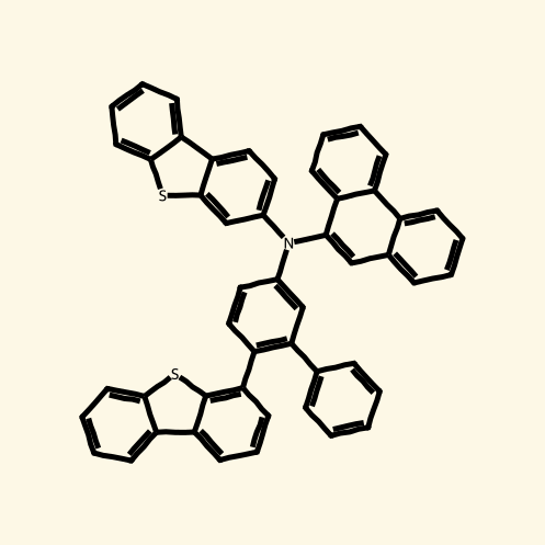 c1ccc(-c2cc(N(c3ccc4c(c3)sc3ccccc34)c3cc4ccccc4c4ccccc34)ccc2-c2cccc3c2sc2ccccc23)cc1